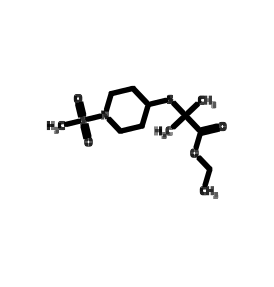 CCOC(=O)C(C)(C)SC1CCN(S(C)(=O)=O)CC1